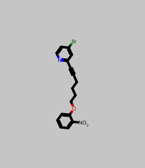 O=[N+]([O-])c1ccccc1OCCCCC#Cc1cc(Br)ccn1